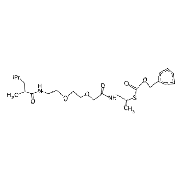 CC(C)CC(C)C(=O)NCCOCCOCC(=O)NCC(C)SC(=O)OCc1ccccc1